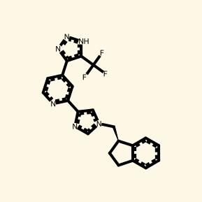 FC(F)(F)c1[nH]nnc1-c1ccnc(-c2cn(C[C@@H]3CCc4ccccc43)cn2)c1